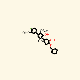 COc1cc(-c2ccc(F)c(C=O)c2)c(OC)c(O)c1-c1ccc(OCc2ccccc2)c(O)c1